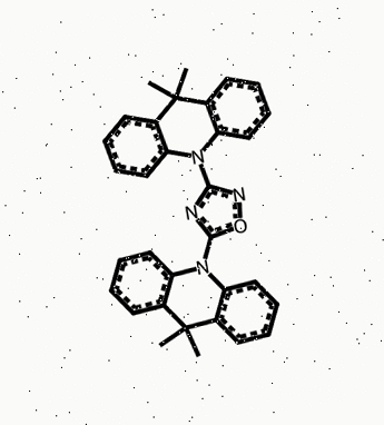 CC1(C)c2ccccc2N(c2noc(N3c4ccccc4C(C)(C)c4ccccc43)n2)c2ccccc21